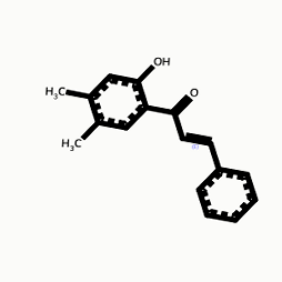 Cc1cc(O)c(C(=O)/C=C/c2ccccc2)cc1C